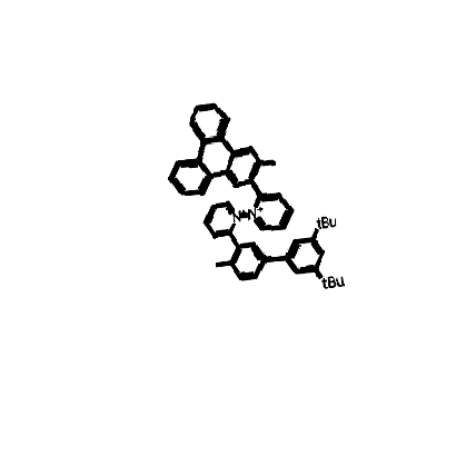 Cc1ccc(-c2cc(C(C)(C)C)cc(C(C)(C)C)c2)cc1-c1cccc[n+]1-[n+]1ccccc1-c1cc2c3ccccc3c3ccccc3c2cc1C